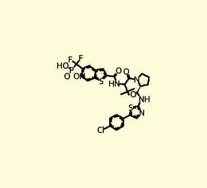 CC(C)(C)C(NC(=O)c1cc2cc(C(F)(F)P(=O)(O)O)ccc2s1)C(=O)N1CCC[C@H]1C(=O)Nc1ncc(-c2ccc(Cl)cc2)s1